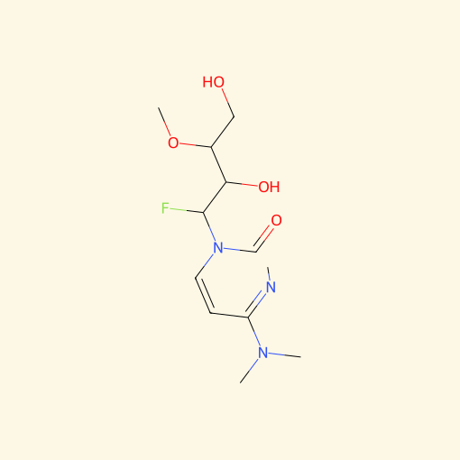 C/N=C(\C=C/N(C=O)C(F)C(O)C(CO)OC)N(C)C